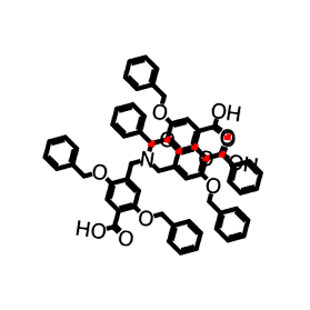 O=C(O)c1cc(OCc2ccccc2)c(CN(Cc2cc(OCc3ccccc3)c(C(=O)O)cc2OCc2ccccc2)Cc2cc(OCc3ccccc3)c(C(=O)O)cc2OCc2ccccc2)cc1OCc1ccccc1